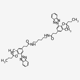 CCCC(=O)Oc1c(C)cc(CCC(=O)NCCCCCCNC(=O)CCc2cc(C)c(OC(=O)CCC)c(-n3nc4ccccc4n3)c2)cc1-n1nc2ccccc2n1